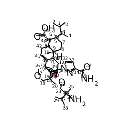 CC(C)[C@@H](C)[C@@]1(C)CC[C@]2(C)[C@H]3CC[C@@H]4[C@@]5(COC[C@@]4(C)[C@@H](OC[C@](C)(N)C(C)C)[C@H](n4ccc(C(N)=O)n4)C5)C3=CC[C@@]2(C)[C@@H]1C(=O)O